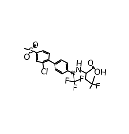 CC(C)(F)CC(N[C@@H](c1ccc(-c2ccc(S(C)(=O)=O)cc2Cl)cc1)C(F)(F)F)C(=O)O